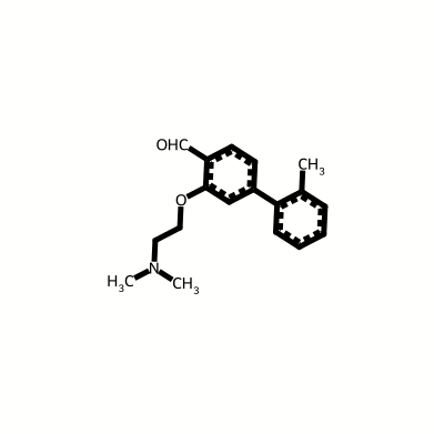 Cc1ccccc1-c1ccc(C=O)c(OCCN(C)C)c1